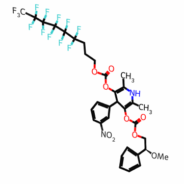 CO[C@H](COC(=O)OC1=C(C)NC(C)=C(OC(=O)OCCCC(F)(F)C(F)(F)C(F)(F)C(F)(F)C(F)(F)C(F)(F)F)C1c1cccc([N+](=O)[O-])c1)c1ccccc1